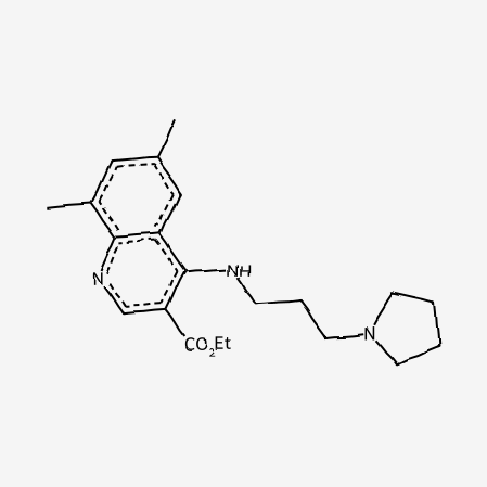 CCOC(=O)c1cnc2c(C)cc(C)cc2c1NCCCN1CCCC1